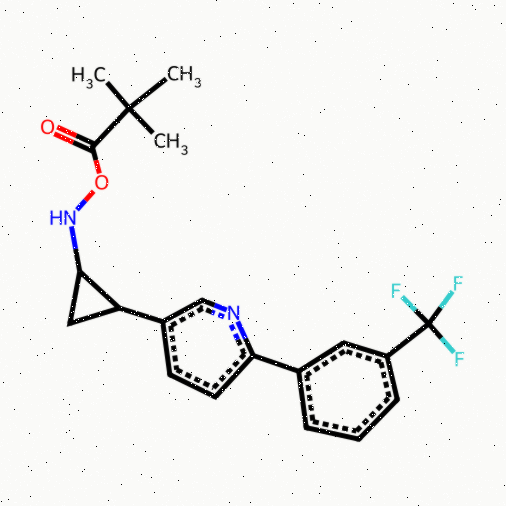 CC(C)(C)C(=O)ONC1CC1c1ccc(-c2cccc(C(F)(F)F)c2)nc1